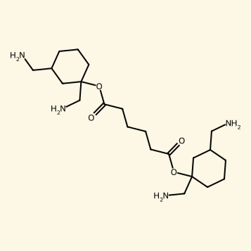 NCC1CCCC(CN)(OC(=O)CCCCC(=O)OC2(CN)CCCC(CN)C2)C1